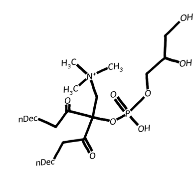 CCCCCCCCCCCC(=O)C(C[N+](C)(C)C)(OP(=O)(O)OCC(O)CO)C(=O)CCCCCCCCCCC